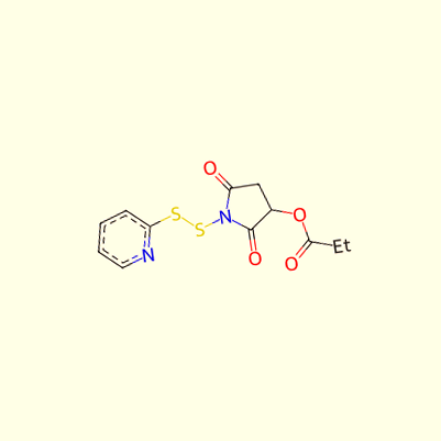 CCC(=O)OC1CC(=O)N(SSc2ccccn2)C1=O